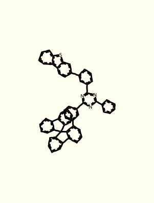 c1ccc(-c2nc(-c3cccc(-c4ccc5c(c4)sc4ccccc45)c3)nc(-c3cccc(-c4cccc5c4C4(c6ccccc6-c6ccccc64)c4ccccc4-5)c3)n2)cc1